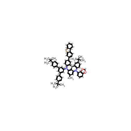 Cc1cc2c3c(c1)N(c1cccc4c1OCO4)c1ccc(C(C)(C)C)cc1B3c1cc(-c3ccc4c(c3)sc3ccccc34)ccc1N2c1cc(-c2ccc(C(C)(C)C)cc2)cc(-c2ccc(C(C)(C)C)cc2)c1